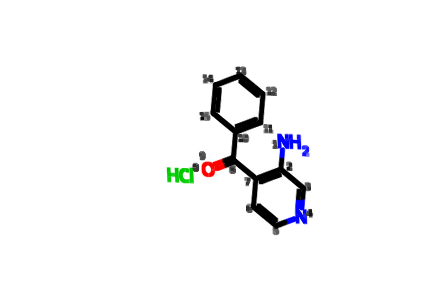 Cl.Nc1cnccc1C(=O)c1ccccc1